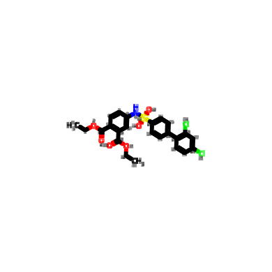 CCOC(=O)c1ccc(NS(=O)(=O)c2ccc(-c3ccc(Cl)cc3Cl)cc2)cc1C(=O)OCC